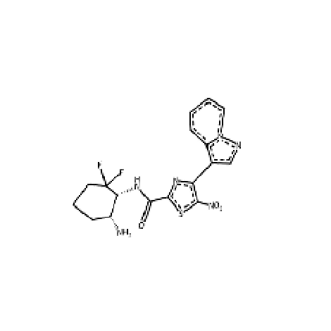 N[C@@H]1CCCC(F)(F)[C@@H]1NC(=O)c1nc(-c2cnn3ccccc23)c([N+](=O)[O-])s1